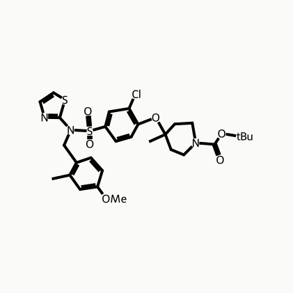 COc1ccc(CN(c2nccs2)S(=O)(=O)c2ccc(OC3(C)CCN(C(=O)OC(C)(C)C)CC3)c(Cl)c2)c(C)c1